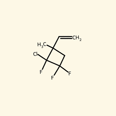 C=CC1(C)CC(F)(F)C1(F)Cl